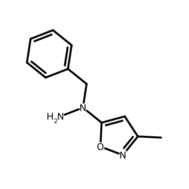 Cc1cc(N(N)Cc2ccccc2)on1